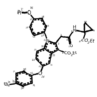 CCOC(=O)c1c(CC(=O)NC2(C(=O)OCC)CC2)n(-c2ccc(OC(C)C)cc2)c2ccc(Oc3ccc(C(C)(C)C)cc3)cc12